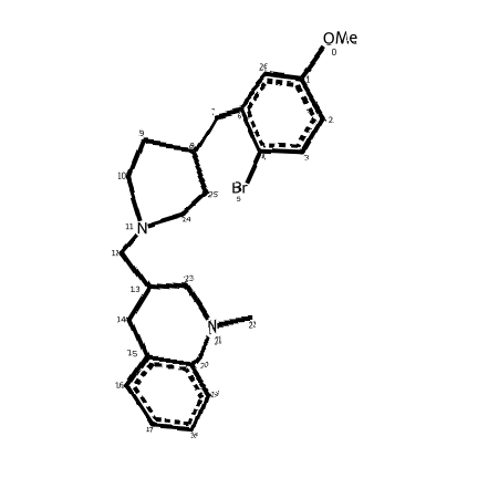 COc1ccc(Br)c(CC2CCN(CC3Cc4ccccc4N(C)C3)CC2)c1